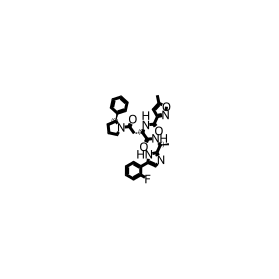 Cc1cc(C(=O)N[C@@H](CC(=O)N2CCC[C@H]2c2ccccc2)C(=O)N[C@@H](C)c2ncc(-c3ccccc3F)[nH]2)no1